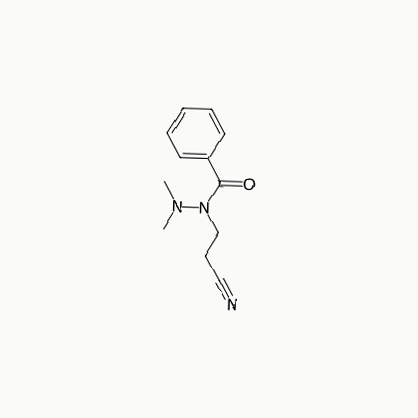 CN(C)N(CCC#N)C(=O)c1ccccc1